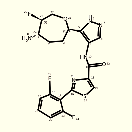 N[C@H]1CC[C@H](c2[nH]ncc2NC(=O)c2csc(-c3c(F)cccc3F)n2)OC[C@@H]1F